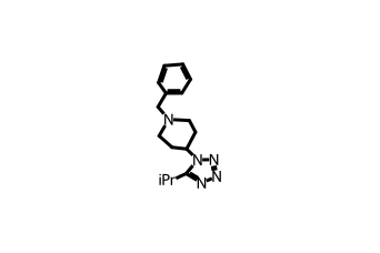 CC(C)c1nnnn1C1CCN(Cc2ccccc2)CC1